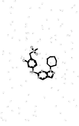 CS(=O)(=O)Cc1ccc(Nc2ncc3cnn(C4CCCCCC4)c3n2)cc1Cl